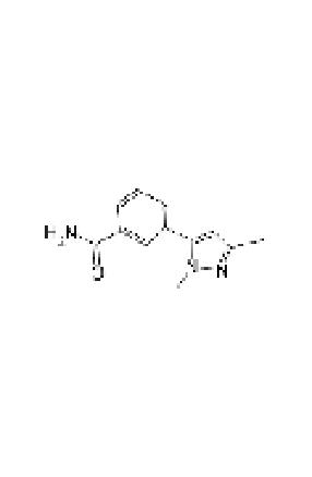 Cc1cc(-c2cccc(C(N)=O)c2)n(C)n1